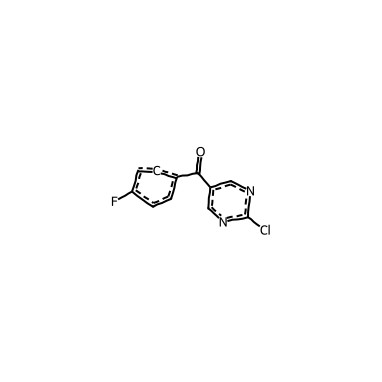 O=C(c1ccc(F)cc1)c1cnc(Cl)nc1